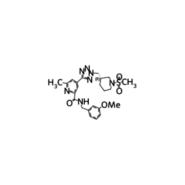 COc1cccc(CNC(=O)c2cc(-c3nnn(C[C@H]4CCCN(S(C)(=O)=O)C4)n3)cc(C)n2)c1